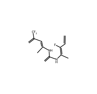 C=C/C(F)=C(\C)NC(=C)N/C(C)=C/C(=C)C(F)(F)F